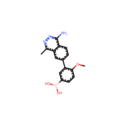 COc1ccc(B(O)O)cc1-c1ccc2c(N)nnc(C)c2c1